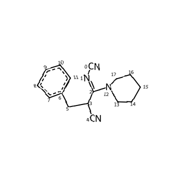 N#CN=C(C(C#N)Cc1ccccc1)N1CCCCC1